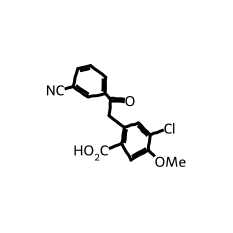 COc1cc(C(=O)O)c(CC(=O)c2cccc(C#N)c2)cc1Cl